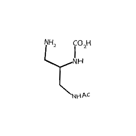 CC(=O)NCC(CN)NC(=O)O